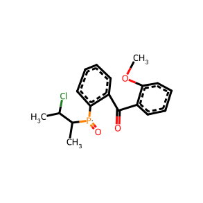 COc1ccccc1C(=O)c1ccccc1[P](=O)C(C)C(C)Cl